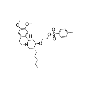 CCCCC[C@@H]1CN2CCc3cc(OC)c(OC)cc3[C@H]2C[C@H]1OCCOS(=O)(=O)c1ccc(C)cc1